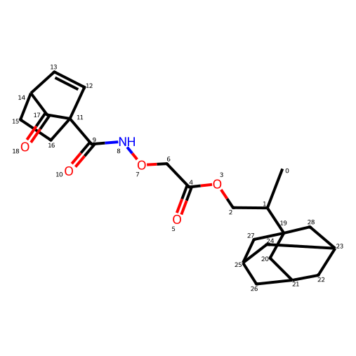 CC(COC(=O)CONC(=O)C12C=CC(CC1)C2=O)C12CC3CC(CC(C3)C1)C2